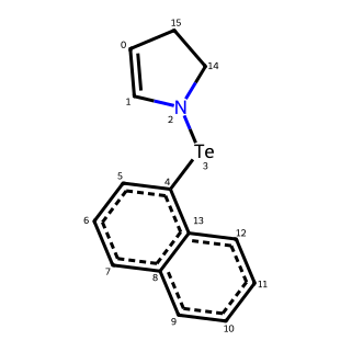 C1=CN([Te]c2cccc3ccccc23)CC1